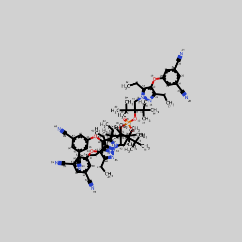 CCc1nn(CC(OP(=O)(OC(Cn2nc(CC)c(Oc3cc(C#N)cc(C#N)c3)c2CC)(C(C)(C)C)C(C)(C)C)OC(Cn2nc(CC)c(Oc3cc(C#N)cc(C#N)c3)c2CC)(C(C)(C)C)C(C)(C)C)(C(C)(C)C)C(C)(C)C)c(CC)c1Oc1cc(C#N)cc(C#N)c1